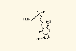 CCCn1cnc2c1c(=O)n(CCCCC(C)(O)C#CCN)c(=O)n2C.Cl